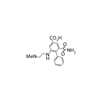 CNCCNc1cc(C(=O)O)cc(S(N)(=O)=O)c1-c1ccccc1